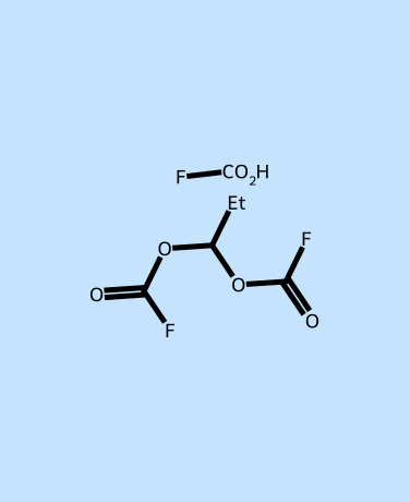 CCC(OC(=O)F)OC(=O)F.O=C(O)F